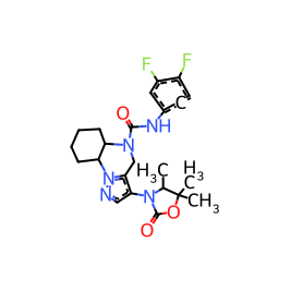 CC1N(c2cnn3c2CN(C(=O)Nc2ccc(F)c(F)c2)C2CCCCC23)C(=O)OC1(C)C